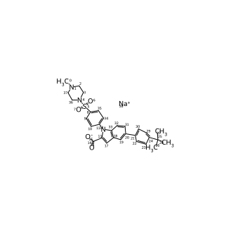 CN1CCN(S(=O)(=O)c2ccc(-n3c(C(=O)[O-])cc4cc(-c5ccc(C(C)(C)C)cc5)ccc43)cc2)CC1.[Na+]